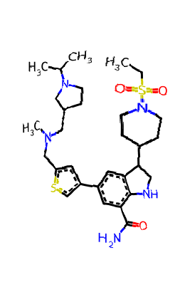 CCS(=O)(=O)N1CCC(C2CNc3c(C(N)=O)cc(-c4csc(CN(C)CC5CCN(C(C)C)C5)c4)cc32)CC1